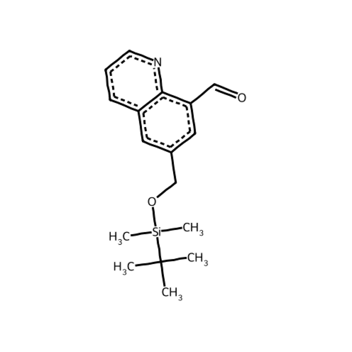 CC(C)(C)[Si](C)(C)OCc1cc(C=O)c2ncccc2c1